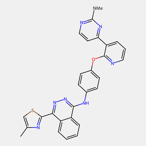 CNc1nccc(-c2cccnc2Oc2ccc(Nc3nnc(-c4nc(C)cs4)c4ccccc34)cc2)n1